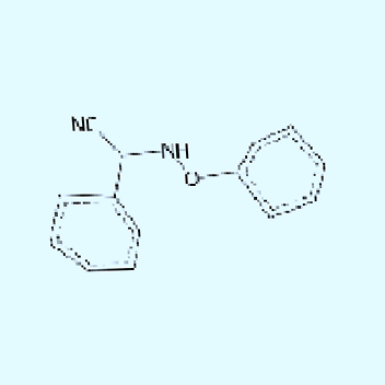 N#CC(NOc1ccccc1)c1ccccc1